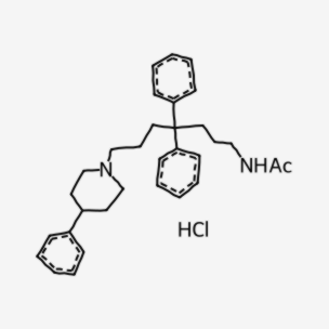 CC(=O)NCCCC(CCCN1CCC(c2ccccc2)CC1)(c1ccccc1)c1ccccc1.Cl